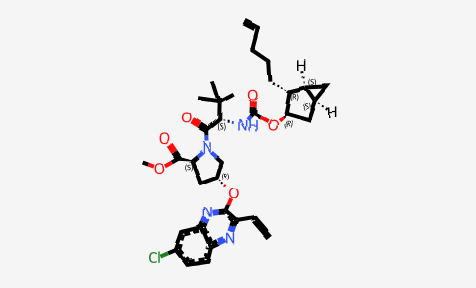 C=CCCC[C@@H]1[C@H]2C[C@H]2C[C@H]1OC(=O)N[C@H](C(=O)N1C[C@H](Oc2nc3cc(Cl)ccc3nc2C=C)C[C@H]1C(=O)OC)C(C)(C)C